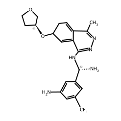 Cc1nnc(N[C@H](N)c2cc(N)cc(C(F)(F)F)c2)c2c1=CCC(O[C@H]1CCOC1)C=2